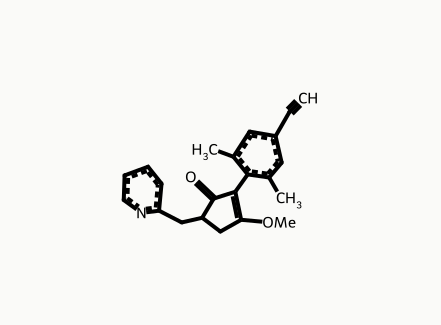 C#Cc1cc(C)c(C2=C(OC)CC(Cc3ccccn3)C2=O)c(C)c1